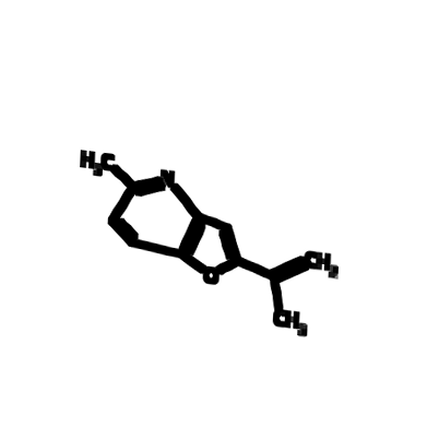 C=C(C)c1cc2nc(C)ccc2o1